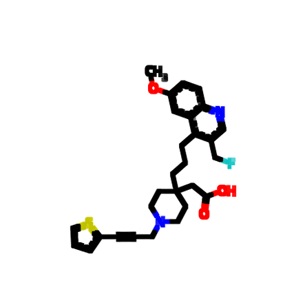 COc1ccc2ncc(CF)c(CCCC3(CC(=O)O)CCN(CC#Cc4cccs4)CC3)c2c1